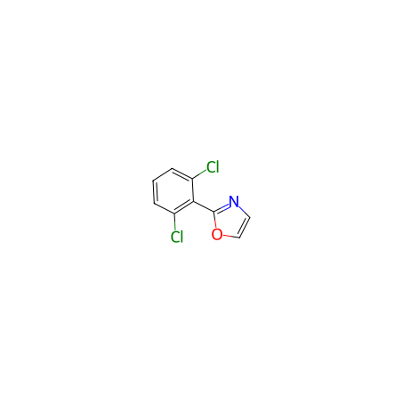 Clc1cccc(Cl)c1-c1ncco1